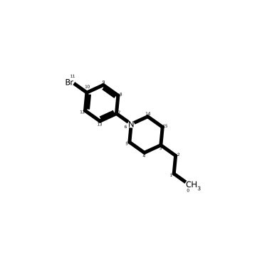 CCCC1CCN(c2ccc(Br)cc2)CC1